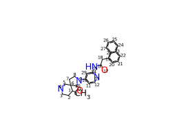 CC1CCN=CC12CCN(c1ccnc(NC(=O)Cc3cccc4ccccc34)c1)C2=O